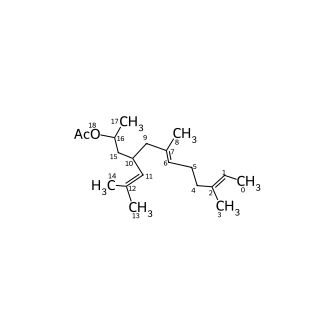 CC=C(C)CCC=C(C)CC(C=C(C)C)CC(C)OC(C)=O